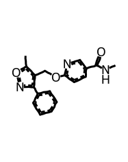 CNC(=O)c1ccc(OCc2c(-c3ccccc3)noc2C)nc1